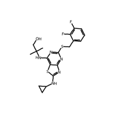 CC(C)(CO)Nc1nc(SCc2cccc(F)c2F)nc2nc(NC3CC3)sc12